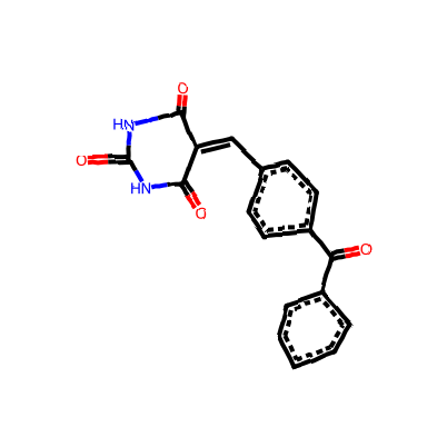 O=C1NC(=O)C(=Cc2ccc(C(=O)c3ccccc3)cc2)C(=O)N1